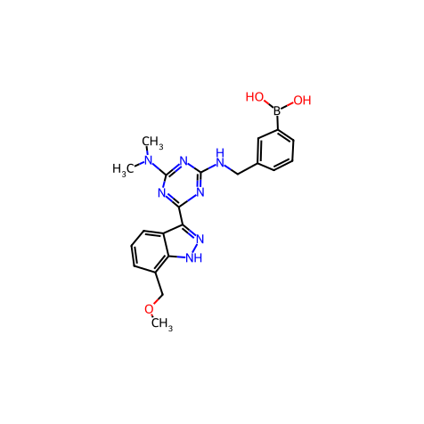 COCc1cccc2c(-c3nc(NCc4cccc(B(O)O)c4)nc(N(C)C)n3)n[nH]c12